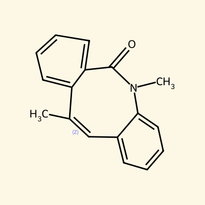 C/C1=C/c2ccccc2N(C)C(=O)c2ccccc21